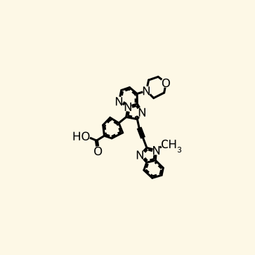 Cn1c(C#Cc2nc3c(N4CCOCC4)ccnn3c2-c2ccc(C(=O)O)cc2)nc2ccccc21